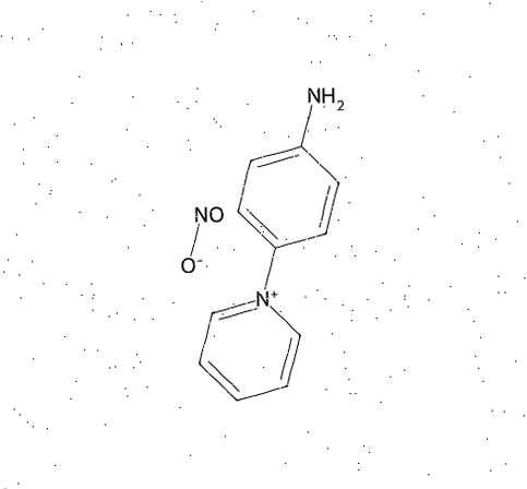 Nc1ccc(-[n+]2ccccc2)cc1.O=N[O-]